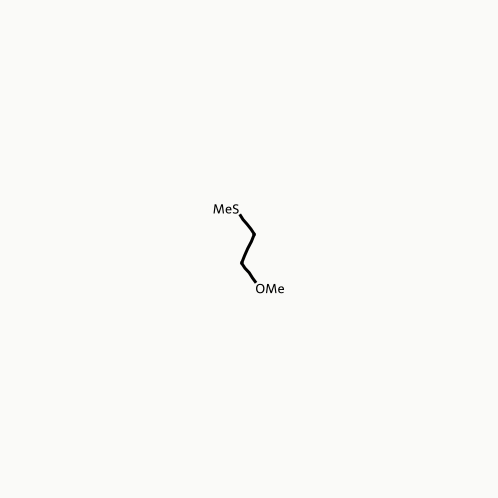 [CH2]SCCOC